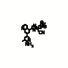 Cc1cc(-c2cc(-c3cnn(C4(CC#N)CN(S(C)(=O)=O)C4)n3)c3cccnc3c2)cnc1N